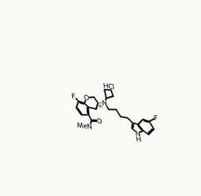 CNC(=O)c1ccc(F)c2c1C[C@@H](N(CCCCc1c[nH]c3ccc(F)cc13)C1CCC1)CO2.Cl